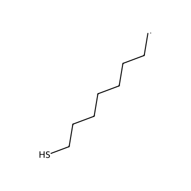 [CH2]CCCCCCCS